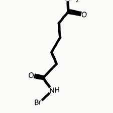 NC(=O)CCCCC(=O)NBr